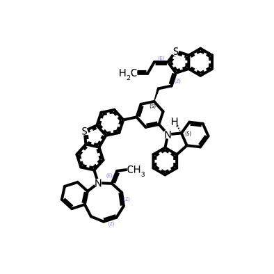 C=C/C=c1/sc2ccccc2/c1=C/C[C@@H]1C=C(c2ccc3sc4ccc(N5C6=C(C=CCC6)C\C=C/C=C\C5=C/C)cc4c3c2)C=C(N2c3ccccc3C3C=CC=C[C@@H]32)C1